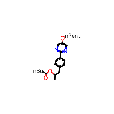 CCCCCOc1cnc(-c2ccc(CC(C)OC(=O)CCCC)cc2)nc1